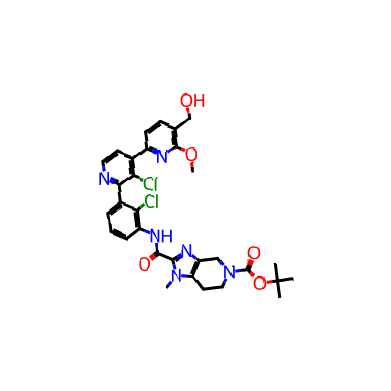 COc1nc(-c2ccnc(-c3cccc(NC(=O)c4nc5c(n4C)CCN(C(=O)OC(C)(C)C)C5)c3Cl)c2Cl)ccc1CO